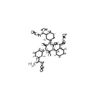 CC(N=C=O)C1CCCC(n2c(=O)n(C3CCCC(C(C)N=C=O)C3)c(=O)n(C3CCCCC3C(C)N=C=O)c2=O)C1